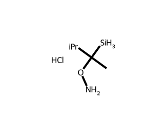 CC(C)C(C)([SiH3])ON.Cl